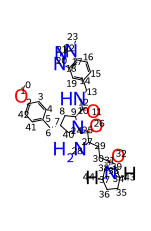 COc1ccc(C[C@@H]2C[C@@H](C(=O)NCc3ccc4c(c3)nnn4C)N(C(=O)[C@H](N)CCC(=O)N3[C@H]4CC[C@@H]3CC4)C2)cc1